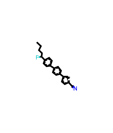 CCCCC(F)c1ccc(-c2ccc(-c3ccc(C#N)cc3)cc2)cc1